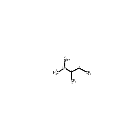 CCCCN(C)C(CC(F)(F)F)C(F)(F)F